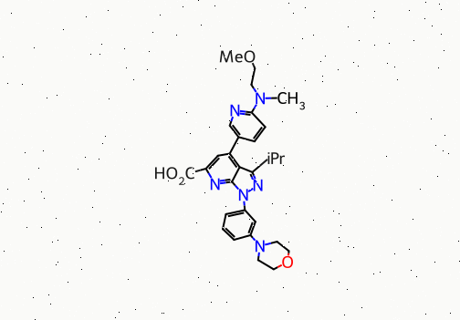 COCCN(C)c1ccc(-c2cc(C(=O)O)nc3c2c(C(C)C)nn3-c2cccc(N3CCOCC3)c2)cn1